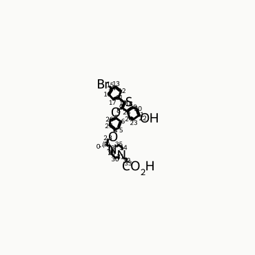 C[C@H](COc1ccc(Oc2c(-c3ccc(Br)cc3)sc3cc(O)ccc23)cc1)N1CCN(CC(=O)O)CC1